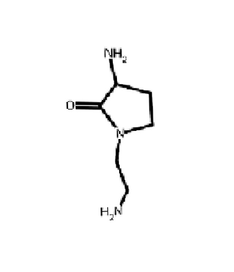 NCCN1CCC(N)C1=O